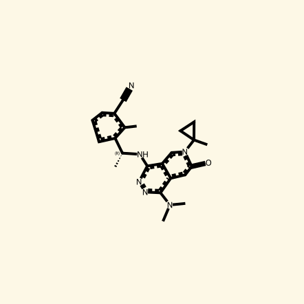 Cc1c(C#N)cccc1[C@@H](C)Nc1nnc(N(C)C)c2cc(=O)n(C3(C)CC3)cc12